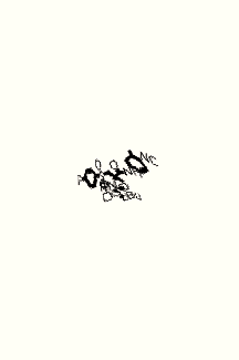 [C-]#[N+]c1ccc(NC(=O)C(C)(CS(=O)(=O)c2ccc(F)cc2)NS(=O)(=O)C(C)(C)C)cc1C